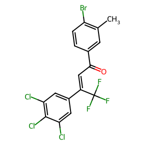 Cc1cc(C(=O)C=C(c2cc(Cl)c(Cl)c(Cl)c2)C(F)(F)F)ccc1Br